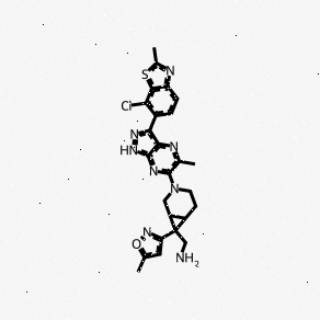 Cc1cc(C2(CN)C3CCN(c4nc5[nH]nc(-c6ccc7nc(C)sc7c6Cl)c5nc4C)CC32)no1